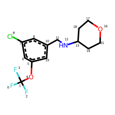 FC(F)(F)Oc1cc(Cl)cc(CNC2CCOCC2)c1